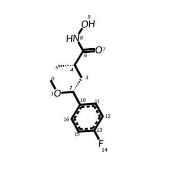 CO[C@H](C[C@H](C)C(=O)NO)c1ccc(F)cc1